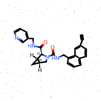 C#Cc1ccc2cccc(CNC(=O)N3C[C@@H]4C[C@@H]4[C@H]3C(=O)NCc3cccnc3)c2c1